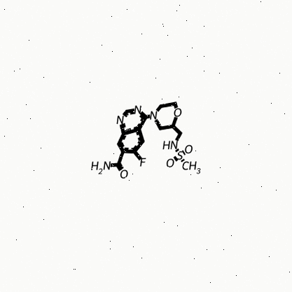 CS(=O)(=O)NCC1CN(c2ncnc3cc(C(N)=O)c(F)cc23)CCO1